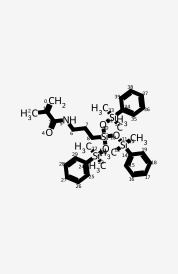 C=C(C)C(=O)NCCC[Si](O[Si](C)(C)c1ccccc1)(O[Si](C)(C)c1ccccc1)O[Si](C)(C)c1ccccc1